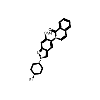 CC[C@H]1CC[C@H](n2cc3cc(-n4ccc5ccccc5c4=O)c(OC)cc3n2)CC1